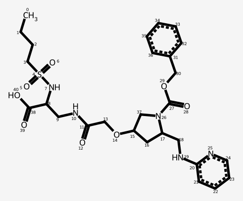 CCCCS(=O)(=O)NC(CNC(=O)COC1CC(CNc2ccccn2)N(C(=O)OCc2ccccc2)C1)C(=O)O